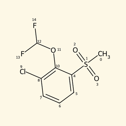 CS(=O)(=O)c1cc[c]c(Cl)c1OC(F)F